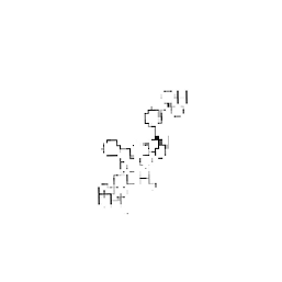 COC(=O)CC(C)n1cc(C=C2C(=O)ON=C2c2cccc(C(=O)O)c2)c2ccccc21